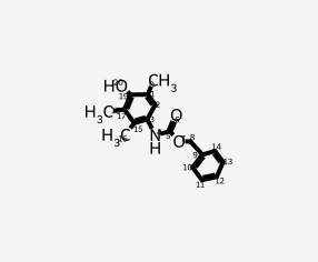 Cc1cc(NC(=O)OCc2ccccc2)c(C)c(C)c1O